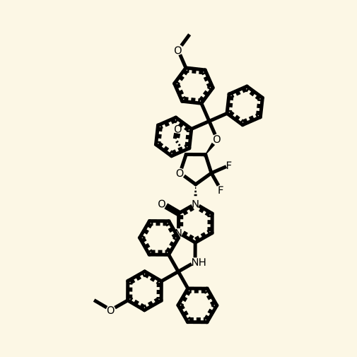 COc1ccc(C(Nc2ccn([C@@H]3O[C@H](C=O)[C@@H](OC(c4ccccc4)(c4ccccc4)c4ccc(OC)cc4)C3(F)F)c(=O)n2)(c2ccccc2)c2ccccc2)cc1